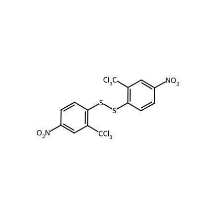 O=[N+]([O-])c1ccc(SSc2ccc([N+](=O)[O-])cc2C(Cl)(Cl)Cl)c(C(Cl)(Cl)Cl)c1